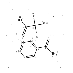 NC(=O)c1ccnnn1.O=C(O)C(F)(F)F